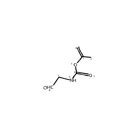 C=C(C)OC(=O)NCC=O